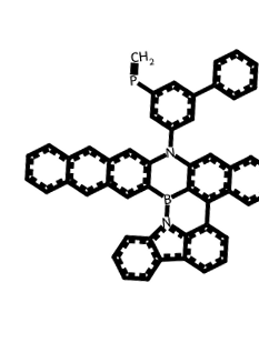 C=Pc1cc(-c2ccccc2)cc(N2c3cc4cc5ccccc5cc4cc3B3c4c2cc2ccccc2c4-c2cccc4c5ccccc5n3c24)c1